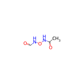 CC(=O)NONC=O